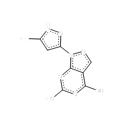 Cc1cc(-n2ncc3c(N)nc(N)nc32)n[nH]1